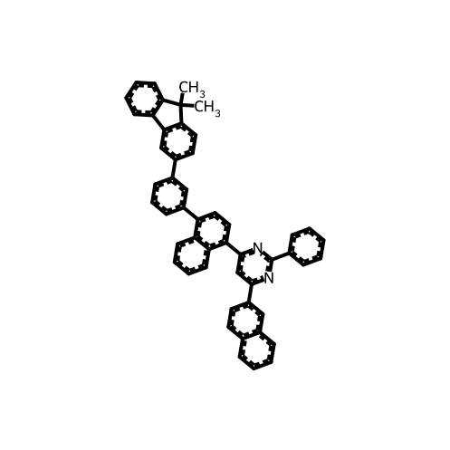 CC1(C)c2ccccc2-c2cc(-c3cccc(-c4ccc(-c5cc(-c6ccc7ccccc7c6)nc(-c6ccccc6)n5)c5ccccc45)c3)ccc21